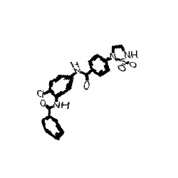 O=C(Nc1ccc(Cl)c(NC(=O)c2ccccc2)c1)c1ccc(N2CCNS2(=O)=O)cc1